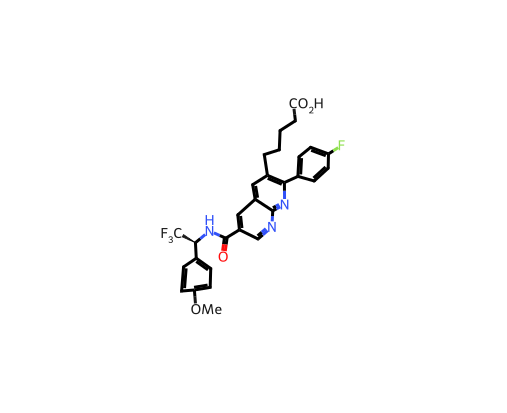 COc1ccc([C@H](NC(=O)c2cnc3nc(-c4ccc(F)cc4)c(CCCCC(=O)O)cc3c2)C(F)(F)F)cc1